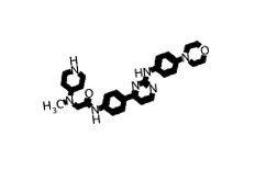 CN(CC(=O)Nc1ccc(-c2ccnc(Nc3ccc(N4CCOCC4)cc3)n2)cc1)C1CCNCC1